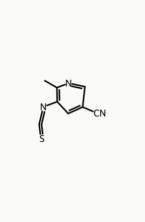 Cc1ncc(C#N)cc1N=C=S